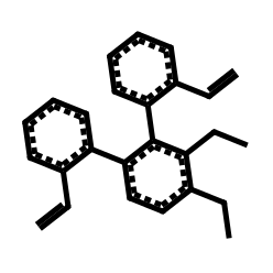 C=Cc1ccccc1-c1ccc(CC)c(CC)c1-c1ccccc1C=C